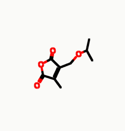 CC1=C(COC(C)C)C(=O)OC1=O